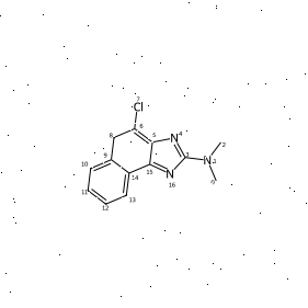 CN(C)C1=NC2=C(Cl)Cc3ccccc3C2=N1